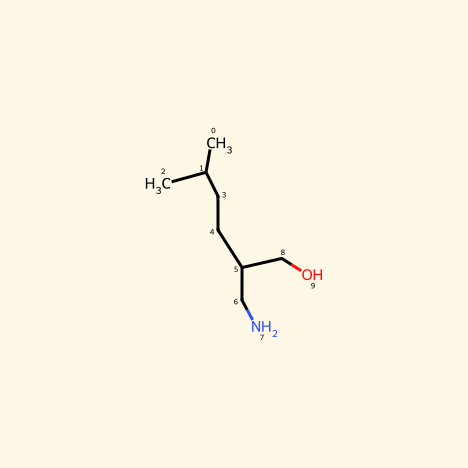 CC(C)CCC(CN)CO